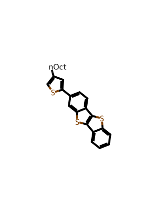 CCCCCCCCc1csc(-c2ccc3c(c2)sc2c4ccccc4sc32)c1